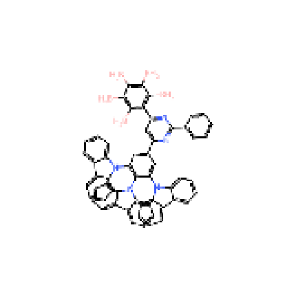 Bc1c(B)c(B)c(-c2cc(-c3cc(-n4c5ccccc5c5ccccc54)c(-n4c5ccccc5c5ccccc54)c(-n4c5ccccc5c5ccccc54)c3)nc(-c3ccccc3)n2)c(B)c1B